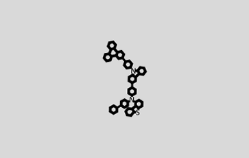 c1ccc(-c2ccc(N(c3ccc(-c4ccc5c(c4)c4ccccc4n5-c4ccc(-c5ccc6c7ccccc7c7ccccc7c6c5)cc4)cc3)c3cccc4sc5ccccc5c34)cc2)cc1